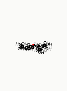 CC(C)(O)[C@@H](CC[C@](C)(O)C1CCC2[C@@H]3CC=C4C(CC[C@H](O[C@H]5C[C@@H](O)[C@H](O)[C@@H](CO)O5)C4(C)C)[C@]3(C)C(=O)C[C@@]21C)O[C@@H]1O[C@H](CO[C@H]2C[C@@H](O)[C@H](O)[C@@H](CO)O2)[C@@H](O)[C@H](O)[C@H]1O